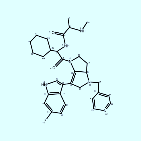 CNC(C)C(=O)NC(C(=O)N1CCC2C1=C(c1c[nH]c3cc(F)ccc13)CN2Cc1ccncc1)C1CCCCC1